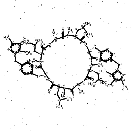 Cc1nn(Cc2ccc(C[C@H]3OC(=O)[C@H](CC(C)C)N(C)C(=O)[C@@H](C)OC(=O)[C@H](CC(C)C)N(C)C(=O)[C@@H](Cc4ccc(Cn5nc(C)c(Cl)c5C)cc4)OC(=O)[C@H](CC(C)C)N(C)C(=O)[C@@H](C)OC(=O)[C@H](CC(C)C)N(C)C3=O)cc2)c(C)c1Cl